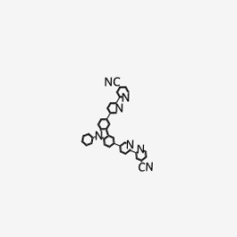 N#Cc1ccnc(-c2ccc(-c3ccc4c(c3)c3cc(-c5ccc(-c6cc(C#N)ccn6)nc5)ccc3n4-c3ccccc3)cn2)c1